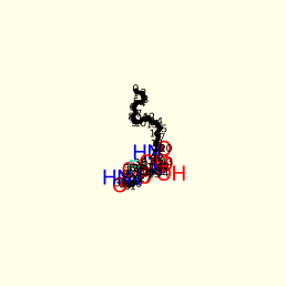 CC/C=C\C/C=C\C/C=C\C/C=C\C/C=C\CCCC(=O)NCCN(C[C@H]1O[C@@H](n2ccc(=O)[nH]c2=O)[C@](C)(F)[C@@H]1O)C(=O)O